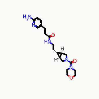 Nc1ccc(/C=C/C(=O)NCC[C@@H]2[C@H]3CN(C(=O)N4CCOCC4)C[C@@H]23)cn1